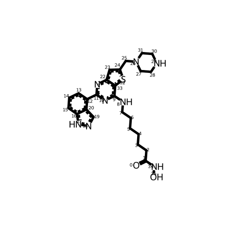 O=C(CCCCCCNc1nc(-c2cccc3[nH]ncc23)nc2cc(CN3CCNCC3)sc12)NO